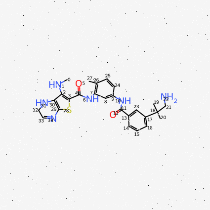 CNc1c(C(=O)Nc2cc(NC(=O)c3cccc(C(C)(C)CN)c3)ccc2C)sc2c1NCC=N2